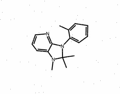 Cc1ccccc1N1c2ncccc2N(C)C1(C)C